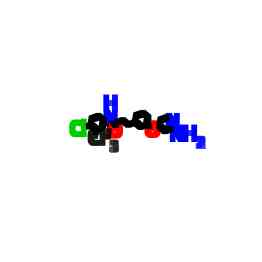 Nc1cc(Oc2cccc(CCC(=O)Nc3ccc(Cl)c(C(F)(F)F)c3)c2)ccn1